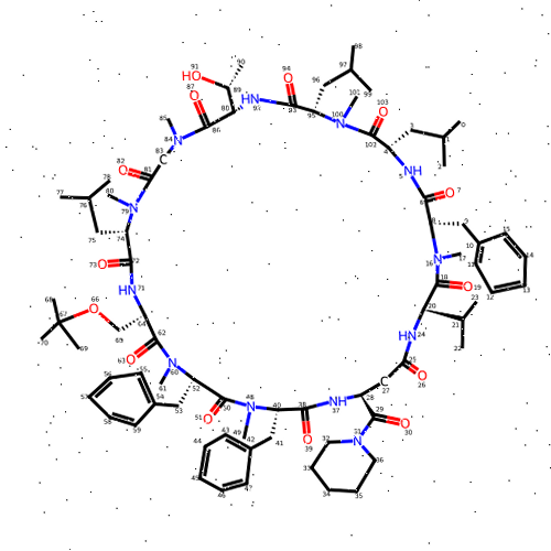 CC(C)C[C@@H]1NC(=O)[C@H](Cc2ccccc2)N(C)C(=O)[C@@H](C(C)C)NC(=O)C[C@@H](C(=O)N2CCCCC2)NC(=O)[C@H](Cc2ccccc2)N(C)C(=O)[C@H](Cc2ccccc2)N(C)C(=O)[C@H](COC(C)(C)C)NC(=O)[C@H](CC(C)C)N(C)C(=O)CN(C)C(=O)[C@H]([C@@H](C)O)NC(=O)[C@H](CC(C)C)N(C)C1=O